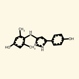 Cc1cc(O)cc(C)c1Nc1cc(-c2ccc(O)cc2)[nH]n1